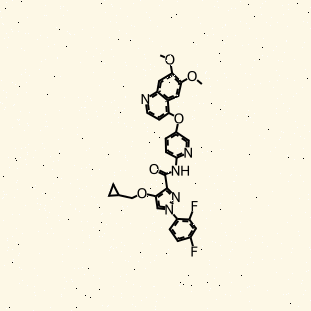 COc1cc2nccc(Oc3ccc(NC(=O)c4nn(-c5ccc(F)cc5F)cc4OCC4CC4)nc3)c2cc1OC